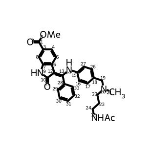 COC(=O)c1ccc2c(c1)NC(=O)C2=C(Nc1ccc(CN(C)CCCNC(C)=O)cc1)c1ccccc1